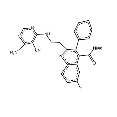 CNC(=O)c1c(-c2ccccc2)c(CCNc2ncnc(N)c2C#N)nc2ccc(F)cc12